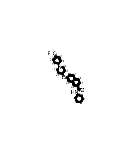 O=C(NC1CCCCC1)c1ccc2ccc(OC3CCN(c4ccc(C(F)(F)F)cc4)CC3)cc2c1